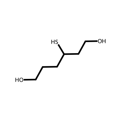 OCCCC(S)CCO